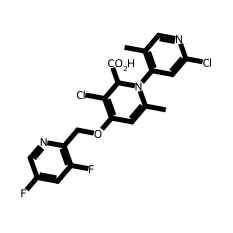 CC1=CC(OCc2ncc(F)cc2F)=C(Cl)C(C(=O)O)N1c1cc(Cl)ncc1C